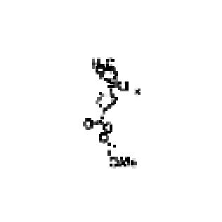 C=C[Si](C)(C=C)c1ccc(C(=O)OO[CH]COC)cc1